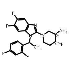 CC(c1ccc(F)cc1F)n1c(N2CC[C@@H](F)[C@H](N)C2)nc2cc(F)c(F)cc21